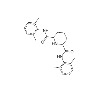 Cc1cccc(C)c1NC(=O)C1CCCC(C(=O)Nc2c(C)cccc2C)N1